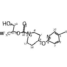 Cc1ccc(OC2CCN(C(=O)OC(CO)C(F)(F)F)CC2)nc1